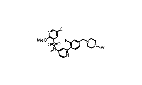 COc1ncc(Cl)cc1S(=O)(=O)N(C)c1ccnc(-c2ccc(CN3CCN(C(C)C)CC3)cc2F)c1